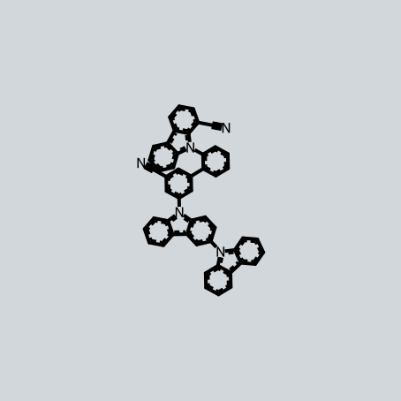 N#Cc1cc(-c2ccccc2-n2c3ccccc3c3cccc(C#N)c32)cc(-n2c3ccccc3c3cc(-n4c5ccccc5c5ccccc54)ccc32)c1